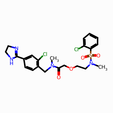 CN(Cc1ccc(C2=NCCN2)cc1Cl)C(=O)COCCN(C)S(=O)(=O)c1ccccc1Cl